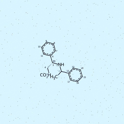 CC(N[C@H](CC(=O)O)c1ccccc1)c1ccccc1